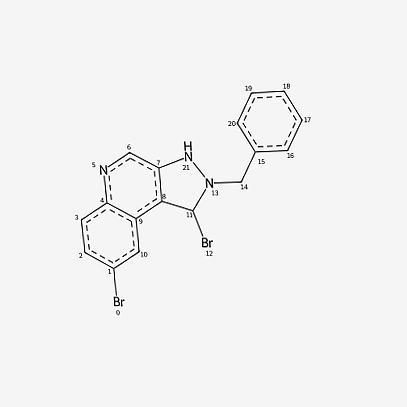 Brc1ccc2ncc3c(c2c1)C(Br)N(Cc1ccccc1)N3